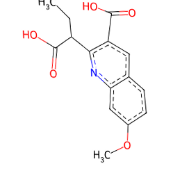 CCC(C(=O)O)c1nc2cc(OC)ccc2cc1C(=O)O